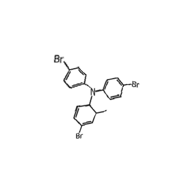 CC1C=C(Br)C=CC1N(c1ccc(Br)cc1)c1ccc(Br)cc1